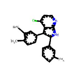 CNc1cc(-c2c(-c3cccc(C)c3)[nH]c3nccc(Cl)c23)ccc1C